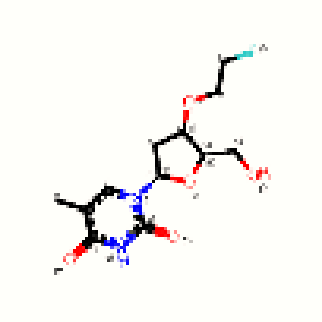 Cc1cn([C@H]2C[C@@H](OCCF)[C@@H](CO)O2)c(=O)[nH]c1=O